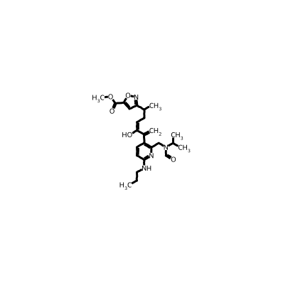 C=C(/C(O)=C\CC(C)c1cc(C(=O)OC)on1)c1ccc(NCCC)nc1CN(C=O)C(C)C